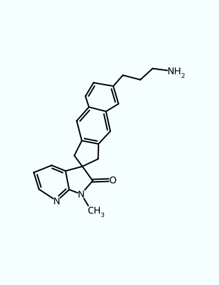 CN1C(=O)C2(Cc3cc4ccc(CCCN)cc4cc3C2)c2cccnc21